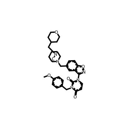 COc1ccc(Cn2c(=O)ccn(-c3noc4ccc(CN5CC6CCC5CN6CC5CCOCC5)cc34)c2=O)cc1